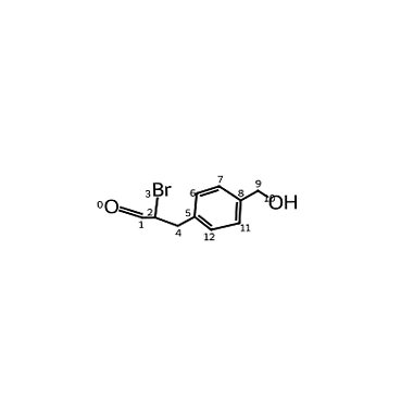 O=CC(Br)Cc1ccc(CO)cc1